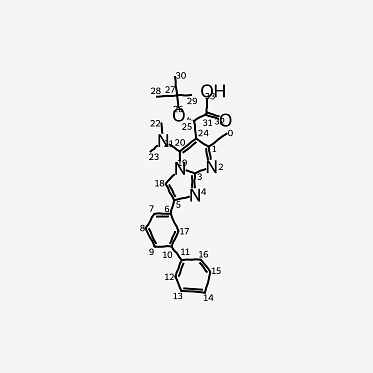 Cc1nc2nc(-c3cccc(-c4ccccc4)c3)cn2c(N(C)C)c1[C@H](OC(C)(C)C)C(=O)O